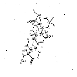 C=C1CC[C@]2(C)C3=CC(=O)[C@@H]4[C@@H]5CC(C)(C)CC[C@]5(C(=O)OC)CC[C@@]4(C)[C@]3(C)CC[C@H]2C1CO